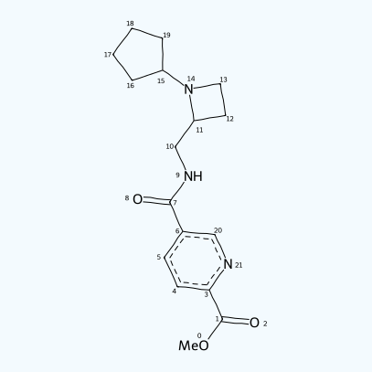 COC(=O)c1ccc(C(=O)NCC2CCN2C2CCCC2)cn1